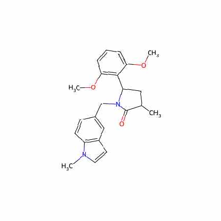 COc1cccc(OC)c1C1CC(C)C(=O)N1Cc1ccc2c(ccn2C)c1